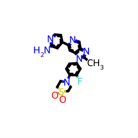 Cc1nc2cnc(-c3ccnc(N)c3)cc2n1-c1ccc(N2CCS(=O)(=O)CC2)c(F)c1